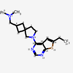 CC(C)N(C)CC1CC2(CCN(c3ncnc4sc(CC(F)(F)F)cc34)C2)C1